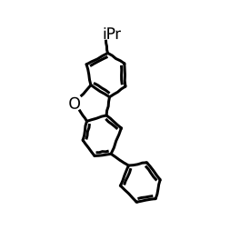 CC(C)c1ccc2c(c1)oc1ccc(-c3ccccc3)cc12